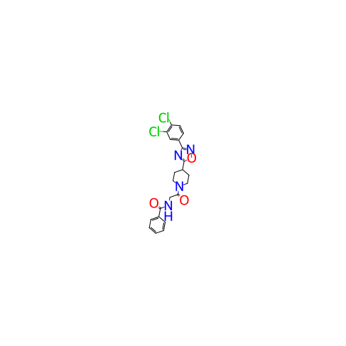 O=C(NCC(=O)N1CCC(c2nc(-c3ccc(Cl)c(Cl)c3)no2)CC1)c1ccccc1